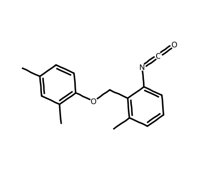 Cc1ccc(OCc2c(C)cccc2N=C=O)c(C)c1